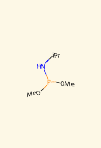 COP(NC(C)C)OC